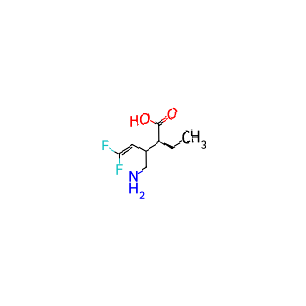 CC[C@H](C(=O)O)C(C=C(F)F)CN